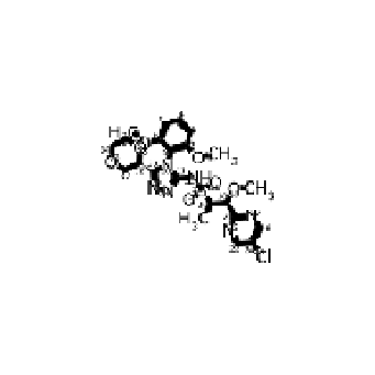 COc1cccc(OC)c1-n1c(NS(=O)(=O)C(C)C(OC)c2ncc(Cl)cn2)nnc1[C@@H]1COCCO1